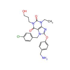 CCn1c(=O)n(CCCO)c(=O)c2c1nc(Oc1ccc(CN)cc1)n2Cc1ccc(Cl)cc1